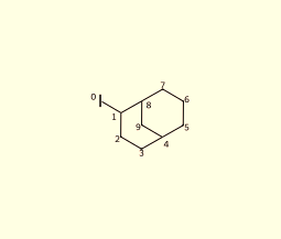 IC1CCC2CCCC1C2